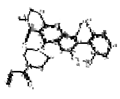 C=CC(=O)N1CCN(c2c3c(nc4c(F)c(-c5c(O)cccc5F)c(Cl)cc24)CCN(C)C3=O)CC1